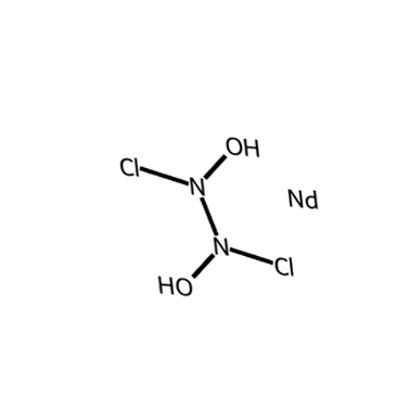 ON(Cl)N(O)Cl.[Nd]